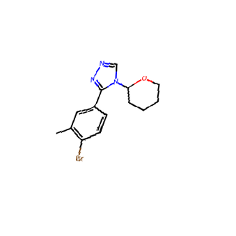 Cc1cc(-c2nncn2C2CCCCO2)ccc1Br